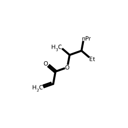 C=CC(=O)OC(C)C(CC)CCC